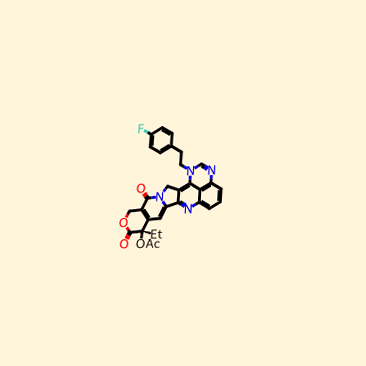 CC[C@@]1(OC(C)=O)C(=O)OCc2c1cc1n(c2=O)Cc2c-1nc1cccc3c1c2N(CCc1ccc(F)cc1)C=N3